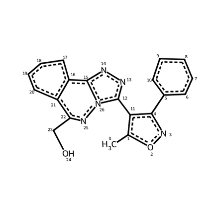 Cc1onc(-c2ccccc2)c1-c1nnc2c3ccccc3c(CO)nn12